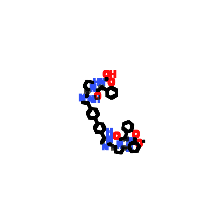 COC(=O)N[C@@H](C(=O)N1[C@@H](c2ccccc2)CC[C@H]1c1ncc(-c2ccc(-c3ccc(-c4cnc([C@H]5CCCN5C(=O)[C@H](NC(=O)O)c5ccccc5)[nH]4)cc3)cc2)[nH]1)c1ccccc1